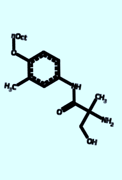 CCCCCCCCOc1ccc(NC(=O)C(C)(N)CO)cc1C